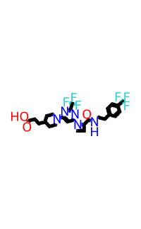 O=C(O)CCC1CCN(c2cc(N3CCC3C(=O)NCCc3ccc(C(F)(F)F)cc3)nc(C(F)(F)F)n2)CC1